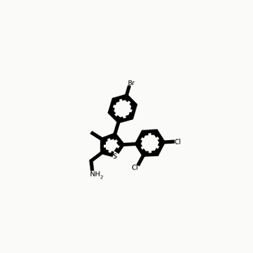 Cc1c(CN)sc(-c2ccc(Cl)cc2Cl)c1-c1ccc(Br)cc1